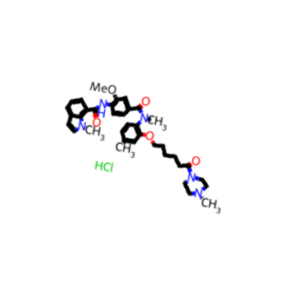 COc1cc(C(=O)N(C)c2ccc(C)cc2OCCCCCC(=O)N2CCN(C)CC2)ccc1NC(=O)c1cccc2ccn(C)c12.Cl